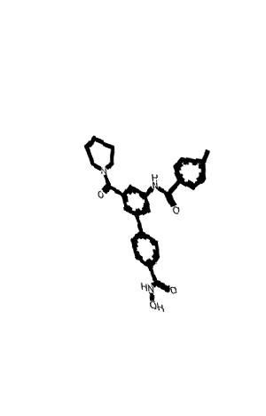 Cc1ccc(C(=O)Nc2cc(C(=O)N3CCCCC3)cc(-c3ccc(C(=O)NO)cc3)c2)cc1